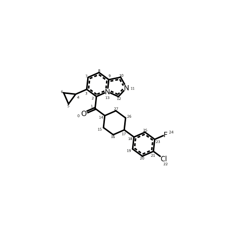 O=C(c1c(C2CC2)ccc2cncn12)C1CCC(c2ccc(Cl)c(F)c2)CC1